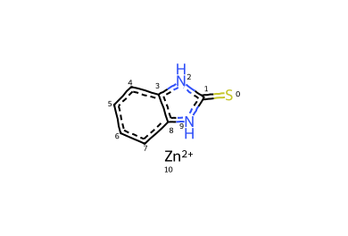 S=c1[nH]c2ccccc2[nH]1.[Zn+2]